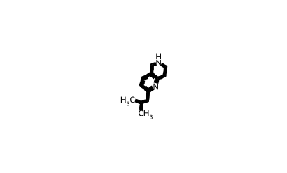 CC(C)Cc1ccc2c(n1)CCNC2